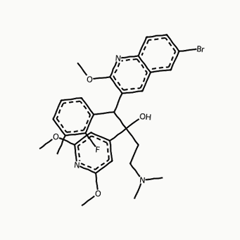 COc1cc(C(O)(CCN(C)C)C(c2cc3cc(Br)ccc3nc2OC)c2cccc(C)c2F)cc(OC)n1